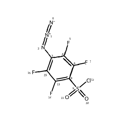 [N-]=[N+]=Nc1c(F)c(F)c(S(=O)(=O)Cl)c(F)c1F